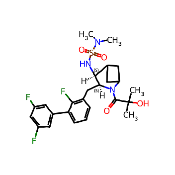 CN(C)S(=O)(=O)N[C@H]1C2CC(C2)N(C(=O)C(C)(C)O)[C@H]1Cc1cccc(-c2cc(F)cc(F)c2)c1F